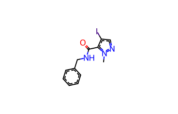 Cn1ncc(I)c1C(=O)NCc1ccccc1